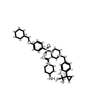 NC1CCN(C(=O)[C@@H]2CN(Cc3ccc(C4(C(F)(F)F)CC4)cc3)CCN2S(=O)(=O)c2ccc(OCC3CCCCC3)cc2)CC1